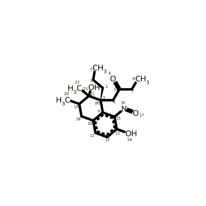 CCC[C@@]1(CC(=O)CC)c2c(ccc(O)c2N=O)CC(C)C1(C)O